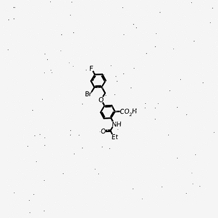 CCC(=O)Nc1ccc(OCc2ccc(F)cc2Br)cc1C(=O)O